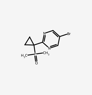 CP(C)(=O)C1(c2ncc(Br)cn2)CC1